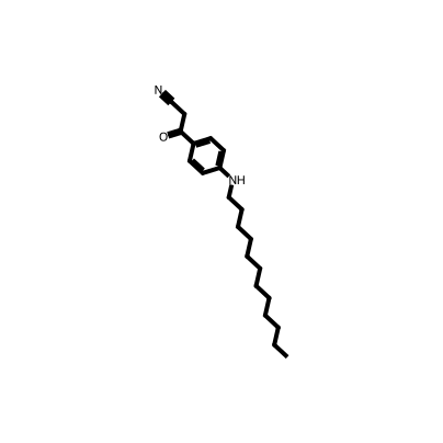 CCCCCCCCCCCCNc1ccc(C(=O)CC#N)cc1